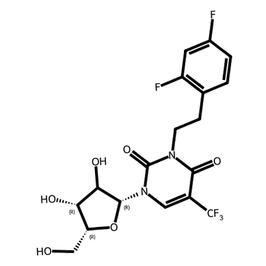 O=c1c(C(F)(F)F)cn([C@@H]2O[C@H](CO)[C@H](O)C2O)c(=O)n1CCc1ccc(F)cc1F